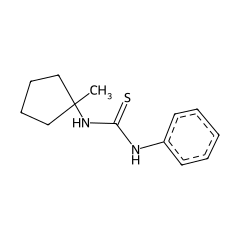 CC1(NC(=S)Nc2ccccc2)CCCC1